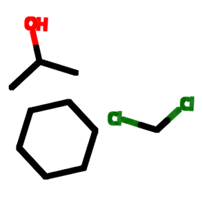 C1CCCCC1.CC(C)O.ClCCl